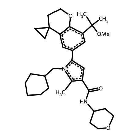 COC(C)(C)c1cc(-c2cc(C(=O)NC3CCOCC3)c(C)n2CC2CCCCC2)cc2c1OCCC21CC1